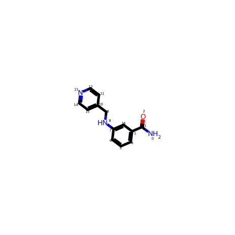 NC(=O)c1cccc(NCc2ccncc2)c1